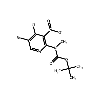 CN(C(=O)OC(C)(C)C)c1ncc(Br)c(Cl)c1[N+](=O)[O-]